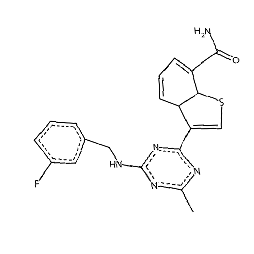 Cc1nc(NCc2cccc(F)c2)nc(C2=CSC3C(C(N)=O)=CC=CC23)n1